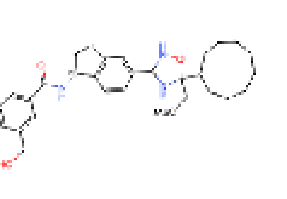 COCC1(C2CCCCCCCC2)NC(c2ccc3c(c2)CC[C@H]3NC(=O)c2cccc(CO)c2)NO1